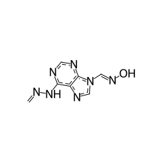 C=NNc1ncnc2c1ncn2C=NO